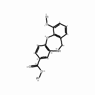 CCOc1cccc2c1Oc1ccc(C(=O)OC(C)C)cc1NC2